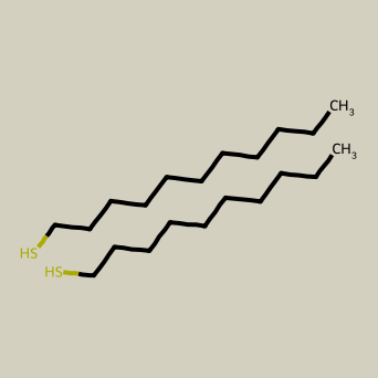 CCCCCCCCCCCS.CCCCCCCCCCS